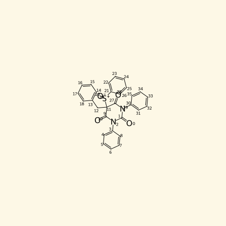 O=C1N(c2ccccc2)C(=O)C(Cc2ccccc2)([S+]([O-])c2ccccc2)C(=O)N1c1ccccc1